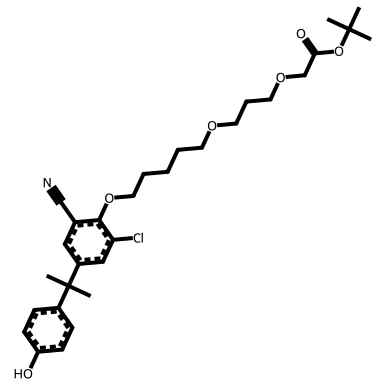 CC(C)(C)OC(=O)COCCCOCCCCCOc1c(Cl)cc(C(C)(C)c2ccc(O)cc2)cc1C#N